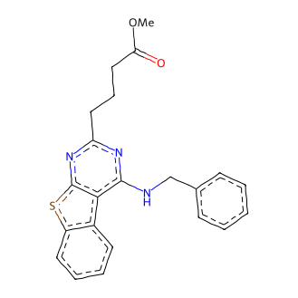 COC(=O)CCCc1nc(NCc2ccccc2)c2c(n1)sc1ccccc12